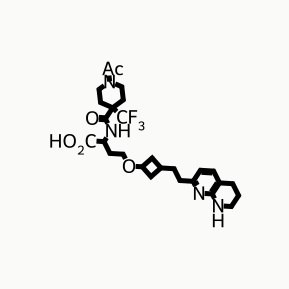 CC(=O)N1CCC(C(=O)NC(CCOC2CC(CCc3ccc4c(n3)NCCC4)C2)C(=O)O)(C(F)(F)F)CC1